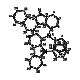 c1ccc(N(c2cccc3sc4c5ccccc5ccc4c23)c2cccc3c4ccccc4n(-c4ccccc4)c23)cc1